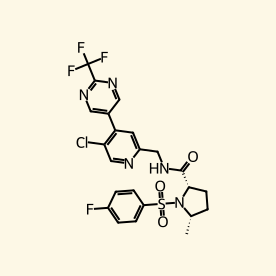 C[C@H]1CC[C@@H](C(=O)NCc2cc(-c3cnc(C(F)(F)F)nc3)c(Cl)cn2)N1S(=O)(=O)c1ccc(F)cc1